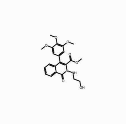 COC(=O)c1c(-c2cc(OC)c(OC)c(OC)c2)c2ccccc2c(=O)n1NCCO